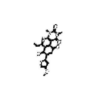 CCc1nc2c(c3c1C(=O)C(c1cc(OC)cs1)=CC3=O)c(=O)n(C)c(=O)n2C